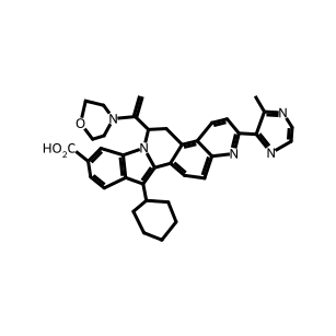 C=C(C1Cc2c(ccc3nc(-c4nccnc4C)ccc23)-c2c(C3CCCCC3)c3ccc(C(=O)O)cc3n21)N1CCOCC1